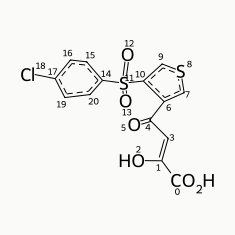 O=C(O)C(O)=CC(=O)c1cscc1S(=O)(=O)c1ccc(Cl)cc1